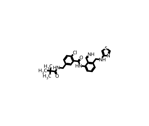 CC(C)(C)C(=O)NCc1ccc(Cl)c(C(=O)Nc2cccc(CNc3cscn3)c2C=N)c1